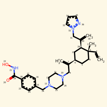 C=C[C@]1(C)CC[C@@H](C(=C)CN2CCN(Cc3ccc(C(=O)NO)cc3)CC2)C[C@H]1C(=C)Cn1cccn1